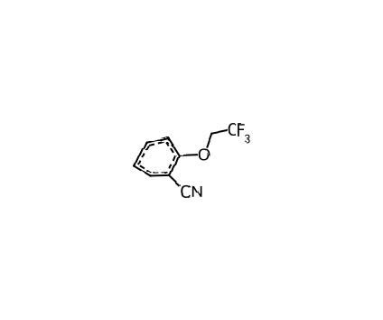 N#Cc1ccccc1OCC(F)(F)F